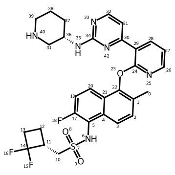 Cc1ccc2c(NS(=O)(=O)C[C@H]3CCC3(F)F)c(F)ccc2c1Oc1ncccc1-c1ccnc(N[C@H]2CCCNC2)n1